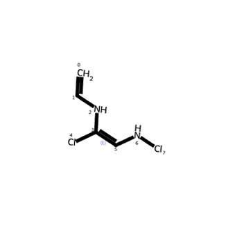 C=CN/C(Cl)=C\NCl